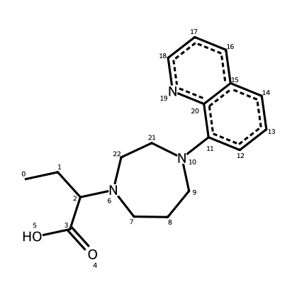 CCC(C(=O)O)N1CCCN(c2cccc3cccnc23)CC1